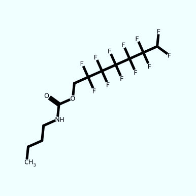 CCCCNC(=O)OCC(F)(F)C(F)(F)C(F)(F)C(F)(F)C(F)(F)C(F)F